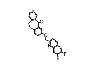 O=C1c2cnccc2CCc2ccc(OCc3ccc4cc(F)c(F)cc4n3)cc21